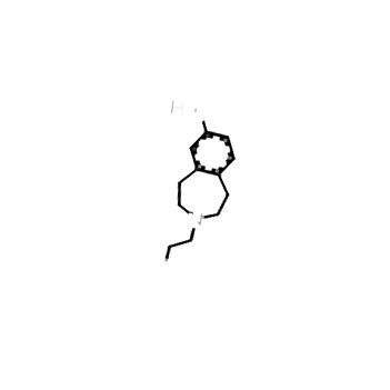 CCCN1CCc2ccc(C)cc2CC1